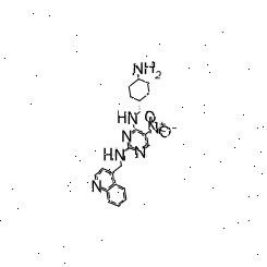 N[C@H]1CC[C@H](CNc2nc(NCc3ccnc4ccccc34)ncc2[N+](=O)[O-])CC1